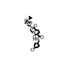 CN(CCN1CCn2c(ccc(C(=O)NCc3ccc(Cl)cc3)c2=O)C1=O)S(=O)(=O)C1CC1